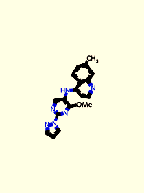 COc1nc(-n2cccn2)ncc1Nc1ccnc2cc(C)ccc12